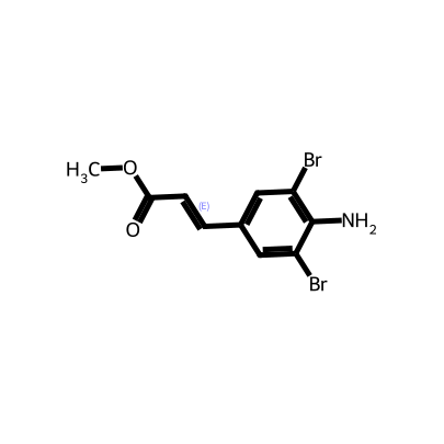 COC(=O)/C=C/c1cc(Br)c(N)c(Br)c1